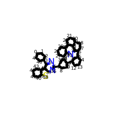 c1ccc(-c2nc(-c3ccc(-c4cccc5c6ccc7cccc8c9ccccc9n(c45)c6c78)cc3)nc3sc4ccccc4c23)cc1